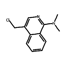 CN(C)c1ncc(CCl)c2ccccc12